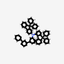 c1ccc(-c2cccc(-c3cccc(N(c4ccc5c(c4)C(c4ccccc4)(c4ccccc4)c4ccccc4-5)c4cccc5c4-c4ccccc4C5(c4ccccc4)c4ccccc4)c3)c2)cc1